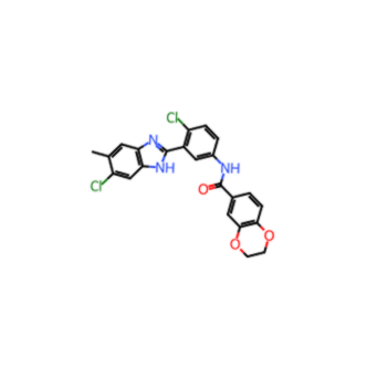 Cc1cc2nc(-c3cc(NC(=O)c4ccc5c(c4)OCCO5)ccc3Cl)[nH]c2cc1Cl